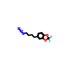 [N-]=[N+]=NCCCCc1ccc2c(c1)OC(F)(F)O2